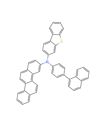 c1ccc2c(-c3ccc(N(c4ccc5c(c4)sc4ccccc45)c4ccc5ccc6c7ccccc7ccc6c5c4)cc3)cccc2c1